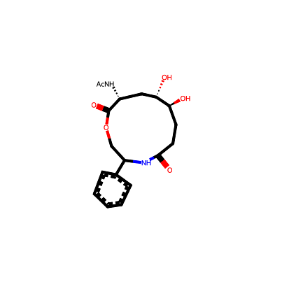 CC(=O)N[C@@H]1C[C@H](O)[C@@H](O)CCC(=O)NC(c2ccccc2)COC1=O